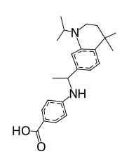 CC(Nc1ccc(C(=O)O)cc1)c1ccc2c(c1)N(C(C)C)CCC2(C)C